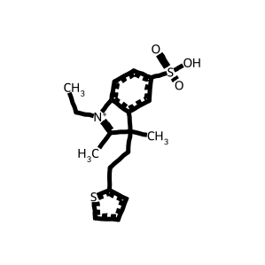 CC[N+]1=C(C)C(C)(CCc2cccs2)c2cc(S(=O)(=O)O)ccc21